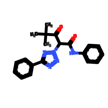 CC(C)(C)C(=O)C(C(=O)Nc1ccccc1)n1nnc(-c2ccccc2)n1